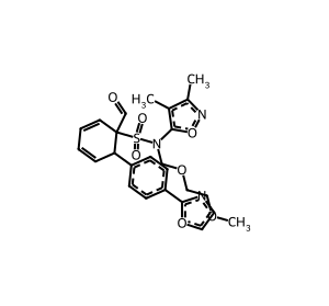 COCCOCN(c1onc(C)c1C)S(=O)(=O)C1(C=O)C=CC=CC1c1ccc(-c2ncco2)cc1